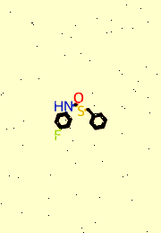 O=C(Nc1ccc(F)cc1)SCc1ccccc1